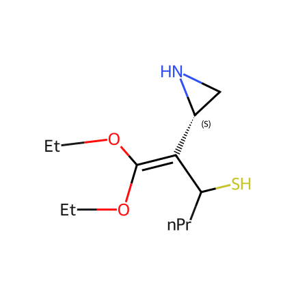 CCCC(S)C(=C(OCC)OCC)[C@H]1CN1